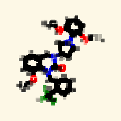 COc1cccc(OC)c1N1CC[C@@H](N2Cc3cccc(OC)c3N(Cc3ccccc3C(F)(F)F)C2=O)C1